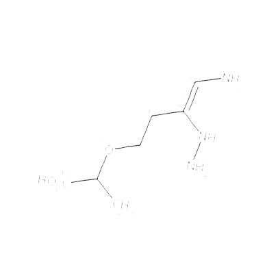 CC(OCC/C(=C/N)NN)C(=O)O